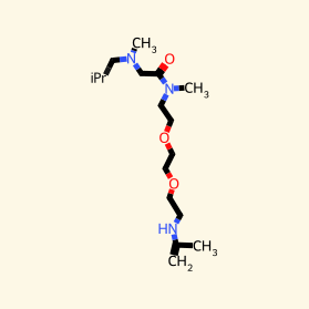 C=C(C)NCCOCCOCCN(C)C(=O)CN(C)CC(C)C